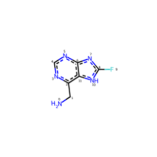 NCc1ncnc2nc(F)[nH]c12